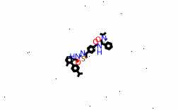 Cc1cccc(C(=O)NC2=NC(c3ccc(C(=O)N[C@H](C(=O)N(C)C(C)C)c4ccccc4)cc3)CS2)c1-c1ccc(C(C)C)cc1